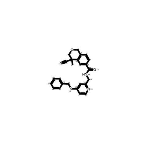 CC1(C#N)COCc2ccc(C(=O)NCc3cc(SCc4ccccc4)ccn3)cc21